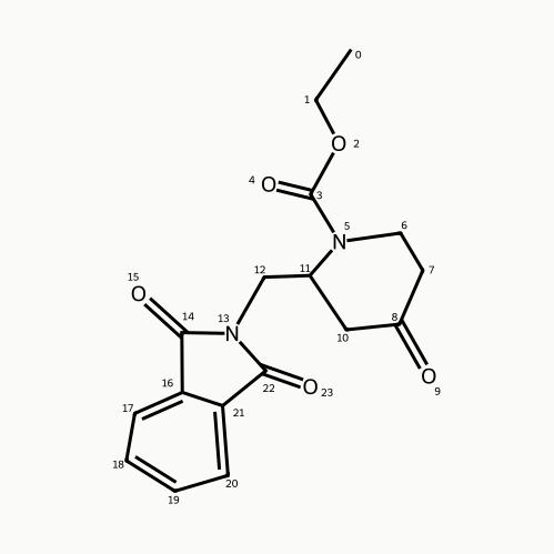 CCOC(=O)N1CCC(=O)CC1CN1C(=O)c2ccccc2C1=O